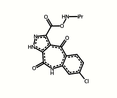 CC(C)NOC(=O)c1n[nH]c2c(=O)[nH]c3cc(Cl)ccc3c(=O)c12